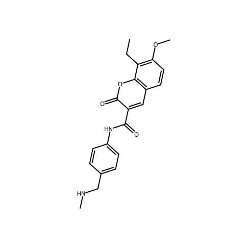 CCc1c(OC)ccc2cc(C(=O)Nc3ccc(CNC)cc3)c(=O)oc12